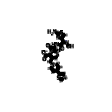 Nc1nc(/C(=N/O)C(=O)N[C@@H]2C(=O)N3C(C(=O)[O-])=C(C[n+]4ccc(-c5cncs5)cc4)CS[C@H]23)cs1